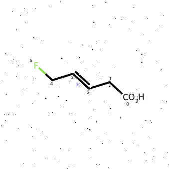 O=C(O)C/C=C/CF